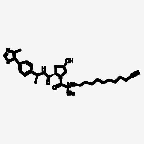 C#CCCCCCCCCCNC(C(=O)N1C[C@H](O)C[C@H]1C(=O)N[C@@H](C)c1ccc(-c2scnc2C)cc1)C(C)(C)C